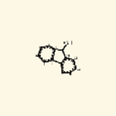 SC1c2[c]cccc2-c2ccccc21